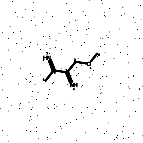 COCC(=N)C(C)=N